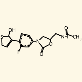 CC(=O)NCC1CN(c2ccc(C3=CCSC3O)c(F)c2)C(=O)O1